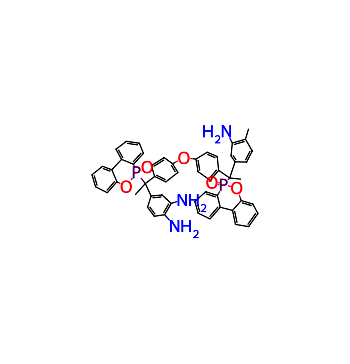 Cc1ccc(C(C)(c2ccc(Oc3ccc(C(C)(c4ccc(N)c(N)c4)P4(=O)Oc5ccccc5-c5ccccc54)cc3)cc2)P2(=O)Oc3ccccc3-c3ccccc32)cc1N